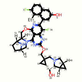 CCc1c(F)ccc2cc(O)cc(-c3nc4c5c(nc(OCC6(CN7C[C@@H]8C[C@@H]8[C@@H]7CO)CC6)nc5c3F)N3C[C@@H]5CC[C@@H](N5)[C@@H]3CO4)c12